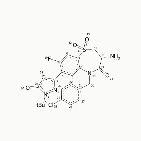 CC(C)(C)n1nc(-c2cc3c(cc2F)S(=O)(=O)C[C@H](N)C(=O)N3Cc2ccc(Cl)cc2)oc1=O